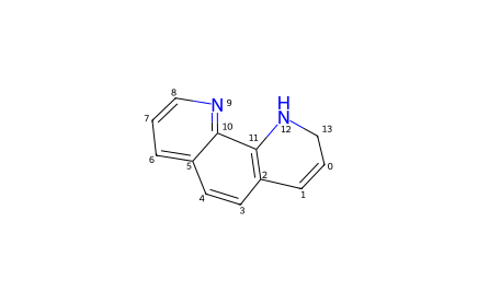 C1=Cc2ccc3cccnc3c2NC1